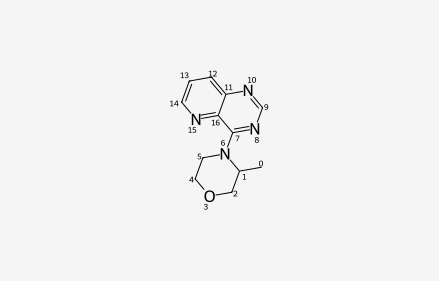 CC1COCCN1c1ncnc2cccnc12